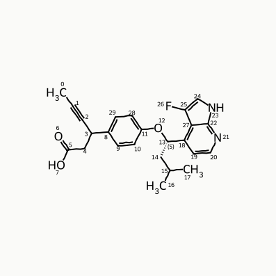 CC#CC(CC(=O)O)c1ccc(O[C@@H](CC(C)C)c2ccnc3[nH]cc(F)c23)cc1